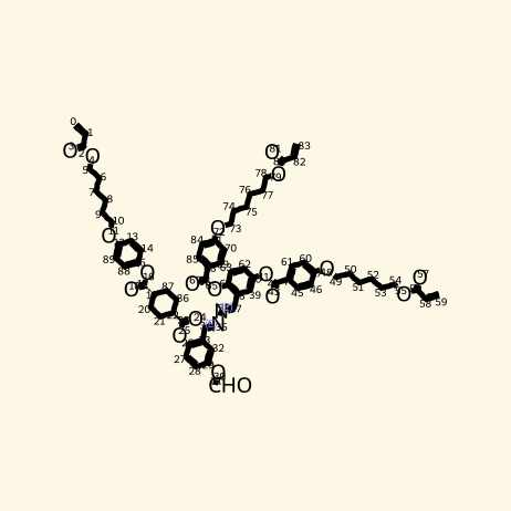 C=CC(=O)OCCCCCCOc1ccc(OC(=O)[C@H]2CC[C@H](C(=O)Oc3ccc(OC=O)cc3/C=N/N=C/c3cc(OC(=O)c4ccc(OCCCCCCOC(=O)C=C)cc4)ccc3OC(=O)c3ccc(OCCCCCCOC(=O)C=C)cc3)CC2)cc1